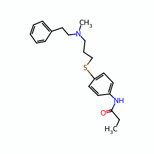 CCC(=O)Nc1ccc(SCCCN(C)CCc2ccccc2)cc1